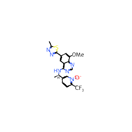 COc1cc(-c2nnc(C)s2)cc2c(N[C@H](C)c3ccc(C(F)(F)F)[n+]([O-])c3)ncnc12